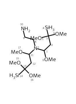 COC(CC([SiH3])(OC)OC)N(CCN)C(CC([SiH3])(OC)OC)OC